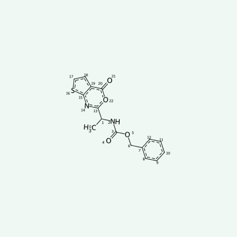 CC(NC(=O)OCc1ccccc1)c1nc2sccc2c(=O)o1